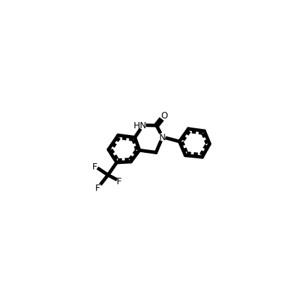 O=C1Nc2ccc(C(F)(F)F)cc2CN1c1ccccc1